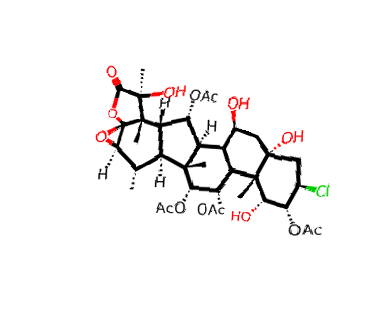 CC(=O)O[C@H]1[C@@H]2[C@H]([C@H](C)[C@H]3O[C@]34OC(=O)[C@@](C)(O)[C@]24C)[C@]2(C)[C@@H]1C1C([C@H](OC(C)=O)[C@@H]2OC(C)=O)[C@@]2(C)[C@@H](O)[C@@H](OC(C)=O)[C@H](Cl)C[C@]2(O)C[C@@H]1O